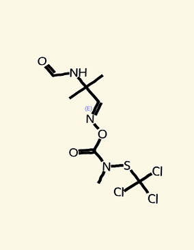 CN(SC(Cl)(Cl)Cl)C(=O)O/N=C/C(C)(C)NC=O